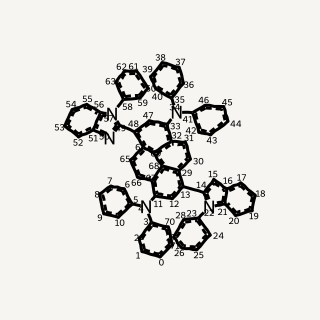 c1ccc(N(c2ccccc2)c2cc(-c3cc4ccccc4n3-c3ccccc3)c3ccc4c(N(c5ccccc5)c5ccccc5)cc(-c5nc6ccccc6n5-c5ccccc5)c5ccc2c3c54)cc1